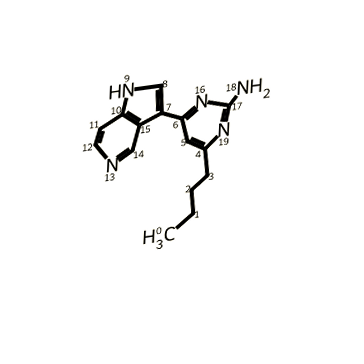 CCCCc1cc(-c2c[nH]c3ccncc23)nc(N)n1